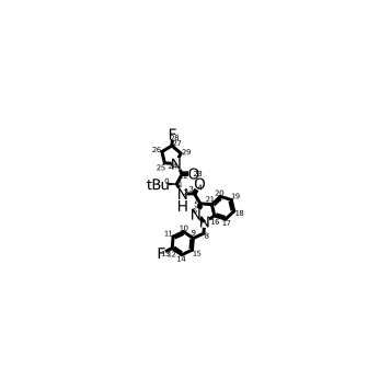 CC(C)(C)[C@H](NC(=O)c1nn(Cc2ccc(F)cc2)c2ccccc12)C(=O)N1CCC(F)C1